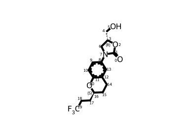 O=C1O[C@@H](CO)CN1c1ccc2c(c1)CC[C@@H](CCC(F)(F)F)O2